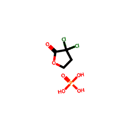 O=C1OCCC1(Cl)Cl.O=P(O)(O)O